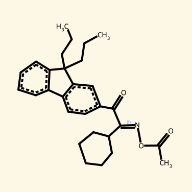 CCCC1(CCC)c2ccccc2-c2ccc(C(=O)/C(=N/OC(C)=O)C3CCCCC3)cc21